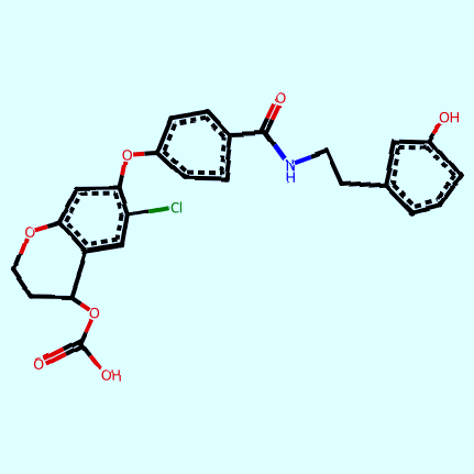 O=C(O)OC1CCOc2cc(Oc3ccc(C(=O)NCCc4cccc(O)c4)cc3)c(Cl)cc21